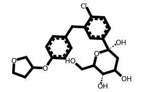 OCC1O[C@@](O)(c2ccc(Cl)c(Cc3ccc(OC4CCOC4)cc3)c2)CC(O)[C@@H]1O